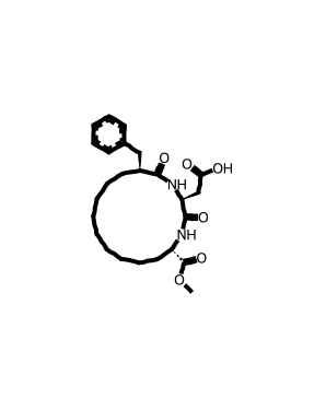 COC(=O)[C@@H]1CCCCCCCCC[C@@H](Cc2ccccc2)C(=O)N[C@@H](CC(=O)O)C(=O)N1